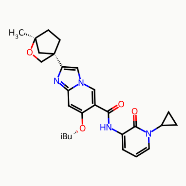 CC[C@@H](C)Oc1cc2nc([C@@]34CC[C@@](C)(C3)OC4)cn2cc1C(=O)Nc1cccn(C2CC2)c1=O